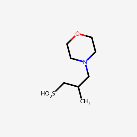 CC(CN1CCOCC1)CS(=O)(=O)O